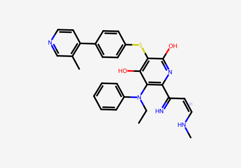 CCN(c1ccccc1)c1c(C(=N)/C=C\NC)nc(O)c(Sc2ccc(-c3ccncc3C)cc2)c1O